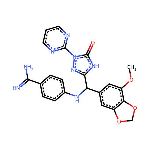 COc1cc(C(Nc2ccc(C(=N)N)cc2)c2nn(-c3ncccn3)c(=O)[nH]2)cc2c1OCO2